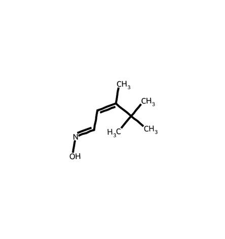 CC(=CC=NO)C(C)(C)C